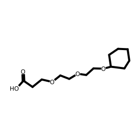 O=C(O)CCOCCOCCOC1CCCCC1